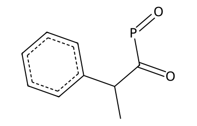 CC(C(=O)P=O)c1ccccc1